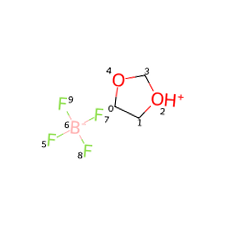 C1C[OH+]CO1.F[B-](F)(F)F